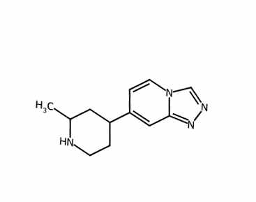 CC1CC(c2ccn3cnnc3c2)CCN1